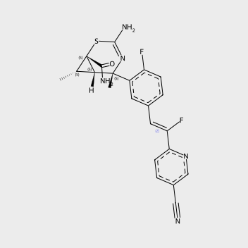 C[C@H]1[C@@H]2[C@@]1(C(N)=O)SC(N)=N[C@]2(C)c1cc(/C=C(\F)c2ccc(C#N)cn2)ccc1F